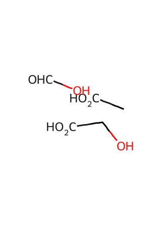 CC(=O)O.O=C(O)CO.O=CO